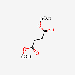 CCCCCCCCOC(=O)CCC(=O)OCCCCCCCC